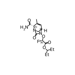 CCC(CC)OC(=O)[C@@H](F)ON1C(=O)N2C[C@H]1C=C(C)[C@H]2C(N)=O